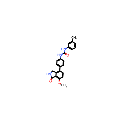 COc1ccc(-c2ccc(NC(=O)Nc3cccc(C)c3)cc2)c2c1C(=O)NC2